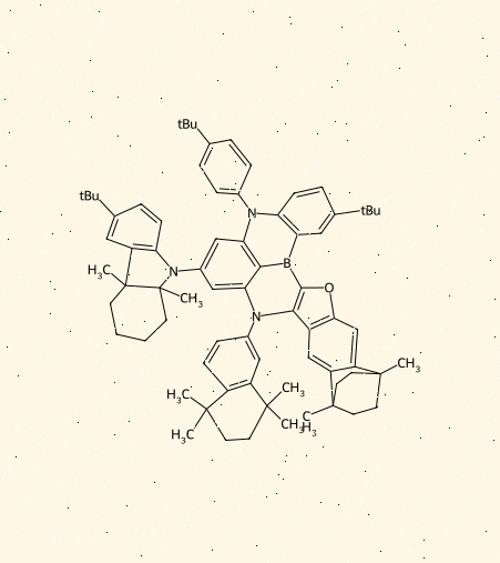 CC(C)(C)c1ccc(N2c3ccc(C(C)(C)C)cc3B3c4oc5cc6c(cc5c4N(c4ccc5c(c4)C(C)(C)CCC5(C)C)c4cc(N5c7ccc(C(C)(C)C)cc7C7(C)CCCCC57C)cc2c43)C2(C)CCC6(C)CC2)cc1